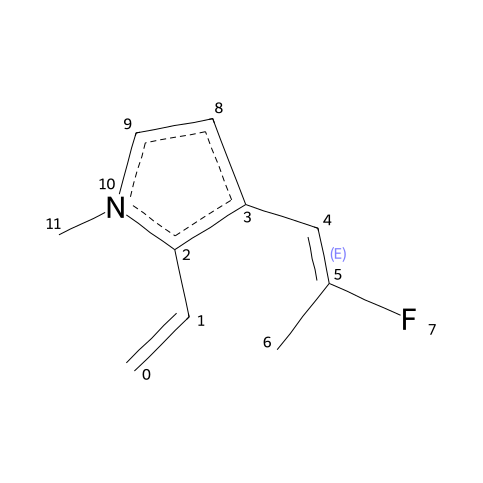 C=Cc1c(/C=C(\C)F)ccn1C